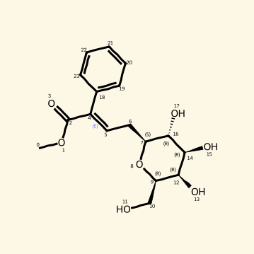 COC(=O)/C(=C/C[C@@H]1O[C@H](CO)[C@H](O)[C@H](O)[C@H]1O)c1ccccc1